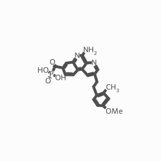 COc1ccc(CCc2cnc3c(N)nc4cc(C(=O)P(=O)(O)O)ccc4c3c2)c(C)c1